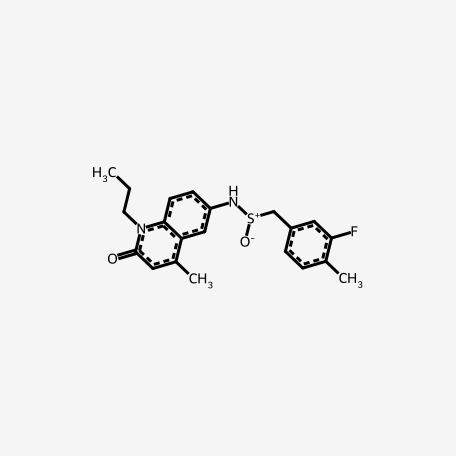 CCCn1c(=O)cc(C)c2cc(N[S+]([O-])Cc3ccc(C)c(F)c3)ccc21